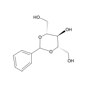 OC[C@@H]1OC(c2ccccc2)O[C@H](CO)[C@H]1O